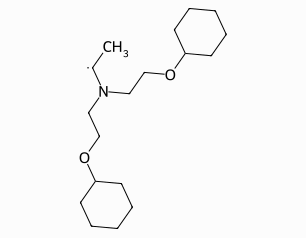 C[CH]N(CCOC1CCCCC1)CCOC1CCCCC1